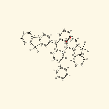 CC1(C)c2ccccc2-c2ccc(N(c3ccccc3)c3ccc(-c4ccccc4)cc3-c3cccc4c3-c3ccccc3C4(C)C)cc21